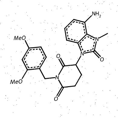 COc1ccc(CN2C(=O)CCC(n3c(=O)n(C)c4c(N)cccc43)C2=O)c(OC)c1